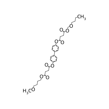 CCCCOCOC(=O)CCC(=O)Oc1ccc(-c2ccc(OC(=O)CCC(=O)OCCCCOC)cc2)cc1